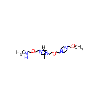 CNCCOCCN1C[C@@H]2C[C@H]1CN2CCOCCN1CCN(CCOC)CC1